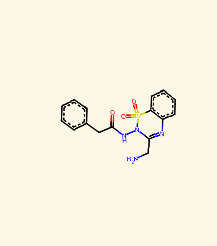 NCC1=Nc2ccccc2S(=O)(=O)N1NC(=O)Cc1ccccc1